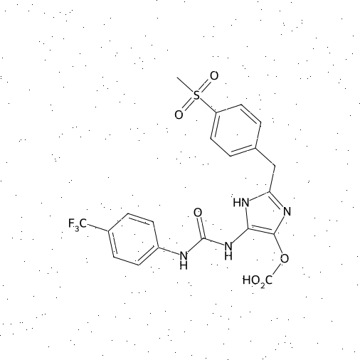 CS(=O)(=O)c1ccc(Cc2nc(OC(=O)O)c(NC(=O)Nc3ccc(C(F)(F)F)cc3)[nH]2)cc1